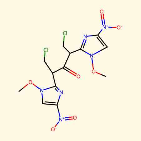 COn1cc([N+](=O)[O-])nc1C(CCl)C(=O)C(CCl)c1nc([N+](=O)[O-])cn1OC